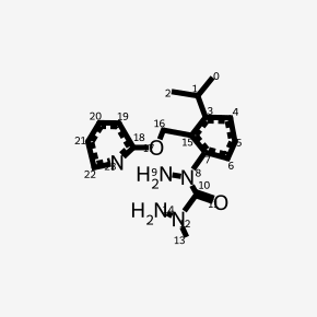 CC(C)c1cccc(N(N)C(=O)N(C)N)c1COc1ccccn1